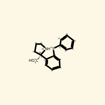 O=C(O)[C@]1(c2ccccc2Sc2ccccc2)CCCN1